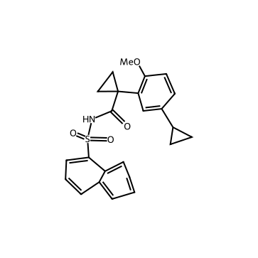 COc1ccc(C2CC2)cc1C1(C(=O)NS(=O)(=O)c2cccc3ccccc23)CC1